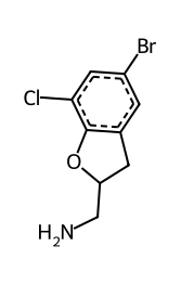 NCC1Cc2cc(Br)cc(Cl)c2O1